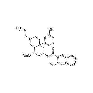 C=CCN1CCC2(c3cccc(O)c3)CC(N(CC(C)C)C(=O)c3ccc4ccccc4c3)CC(OC)C2C1